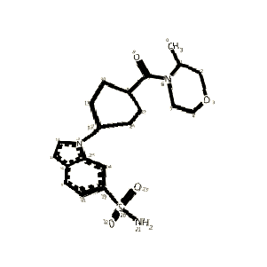 CC1COCCN1C(=O)C1CCC(n2ccc3ccc(S(N)(=O)=O)cc32)CC1